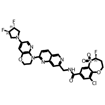 O=C(NCc1cc2nc(N3CCOc4cc(N5C[C@@H](F)[C@H](F)C5)cnc43)ccc2cn1)c1cc(Cl)c2c(c1)S(=O)(=O)[C@@H](F)CCO2